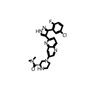 CN(C)C(=O)[C@H]1CN(c2cnc3ccc(-c4c[nH]nc4-c4cc(Cl)ccc4F)nc3c2)CCN1